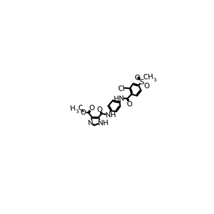 COC(=O)c1nc[nH]c1C(=O)Nc1ccc(NC(=O)c2ccc(S(C)(=O)=O)cc2Cl)cc1